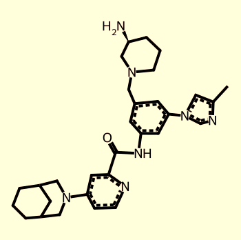 Cc1cn(-c2cc(CN3CCC[C@H](N)C3)cc(NC(=O)c3cc(N4CC5CCCC(C5)C4)ccn3)c2)cn1